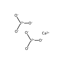 [Ca+2].[O-][I+2]([O-])[O-].[O-][I+2]([O-])[O-]